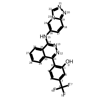 Oc1cc(C(F)(F)F)ccc1-c1nnc(Nc2ccc3nncn3c2)c2ccccc12